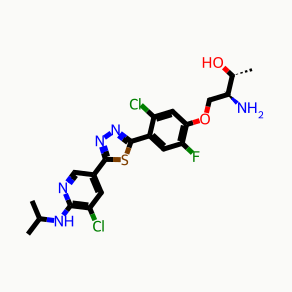 CC(C)Nc1ncc(-c2nnc(-c3cc(F)c(OC[C@H](N)[C@@H](C)O)cc3Cl)s2)cc1Cl